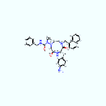 CN(C(=O)NCc1ccccc1)N1CCN(Cc2cccc3ccccc23)C(=O)[C@H](Cc2ccc(N)cc2)NC(=O)C1